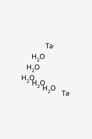 O.O.O.O.O.[Ta].[Ta]